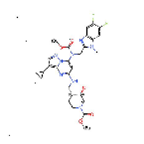 Cn1c(CN(C(=O)OC(C)(C)C)c2cc(NC[C@H]3CCN(C(=O)OC(C)(C)C)C[C@@H]3O)nc3c(C4CC4)cnn23)nc2cc(F)c(F)cc21